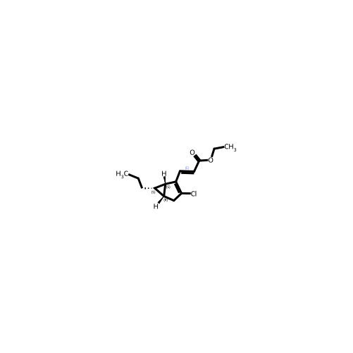 CCC[C@H]1[C@H]2CC(Cl)=C(/C=C/C(=O)OCC)[C@H]21